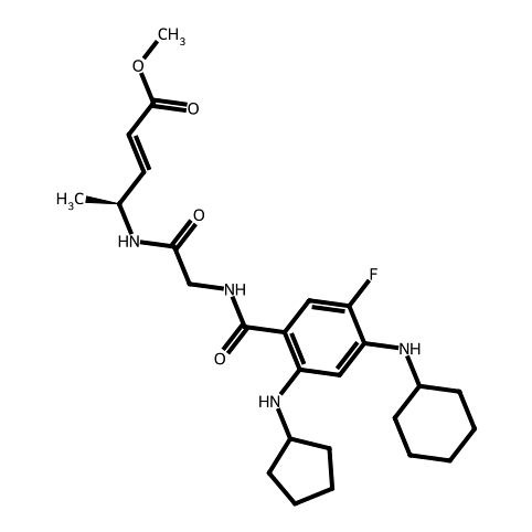 COC(=O)/C=C/[C@H](C)NC(=O)CNC(=O)c1cc(F)c(NC2CCCCC2)cc1NC1CCCC1